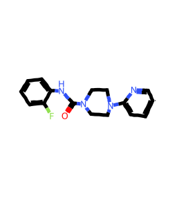 O=C(Nc1ccccc1F)N1CCN(c2cc[c]cn2)CC1